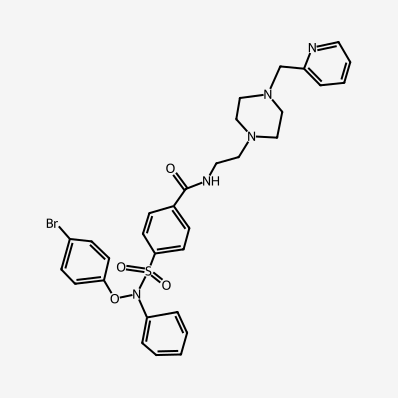 O=C(NCCN1CCN(Cc2ccccn2)CC1)c1ccc(S(=O)(=O)N(Oc2ccc(Br)cc2)c2ccccc2)cc1